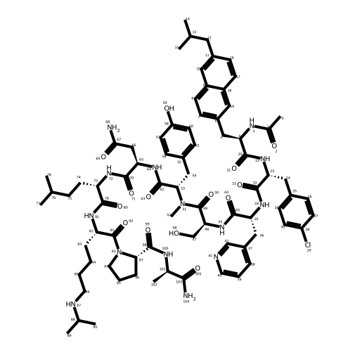 CC(=O)N[C@H](Cc1ccc2cc(CC(C)C)ccc2c1)C(=O)N[C@H](Cc1ccc(Cl)cc1)C(=O)N[C@H](Cc1cccnc1)C(=O)N[C@@H](CO)C(=O)N(C)[C@@H](Cc1ccc(O)cc1)C(=O)N[C@H](CC(N)=O)C(=O)N[C@@H](CCC(C)C)C(=O)N[C@@H](CCCCNC(C)C)C(=O)N1CCC[C@H]1C(=O)N[C@H](C)C(N)=O